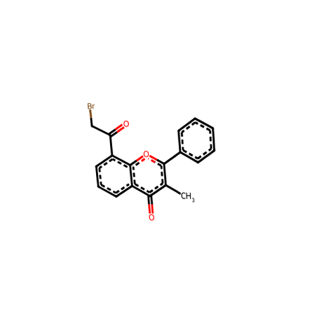 Cc1c(-c2ccccc2)oc2c(C(=O)CBr)cccc2c1=O